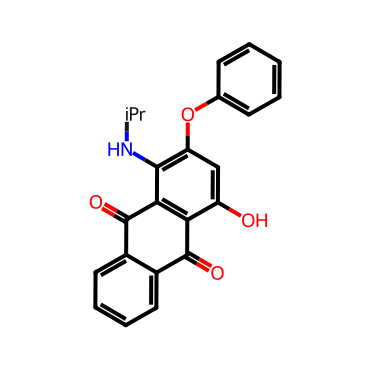 CC(C)Nc1c(Oc2ccccc2)cc(O)c2c1C(=O)c1ccccc1C2=O